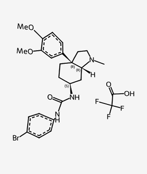 COc1ccc([C@]23CC[C@H](NC(=O)Nc4ccc(Br)cc4)C[C@H]2N(C)CC3)cc1OC.O=C(O)C(F)(F)F